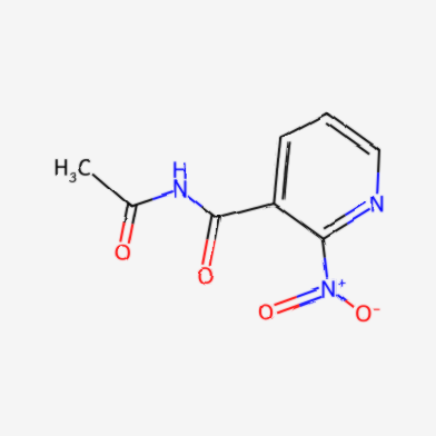 CC(=O)NC(=O)c1cccnc1[N+](=O)[O-]